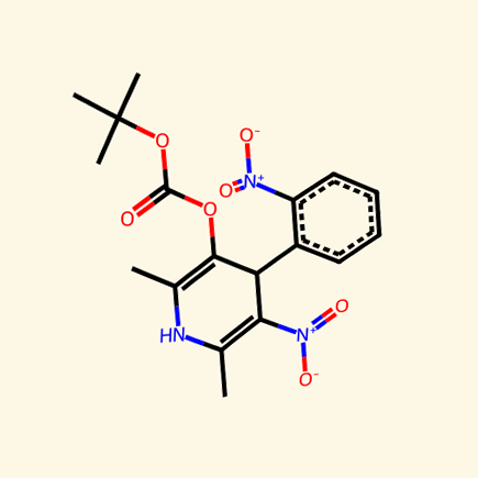 CC1=C(OC(=O)OC(C)(C)C)C(c2ccccc2[N+](=O)[O-])C([N+](=O)[O-])=C(C)N1